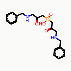 O=C(CNCc1ccccc1)CP(=O)(O)CC(=O)CNCc1ccccc1